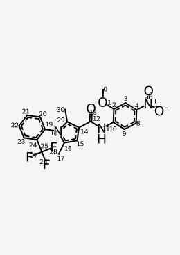 COc1cc([N+](=O)[O-])ccc1NC(=O)c1cc(C)n(-c2ccccc2C(F)(F)F)c1C